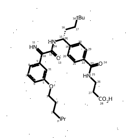 CC(C)CCCOc1cccc(C(=N)C(=O)N[C@H](CCC(C)(C)C)c2ccc(C(=O)NCCC(=O)O)cc2)c1